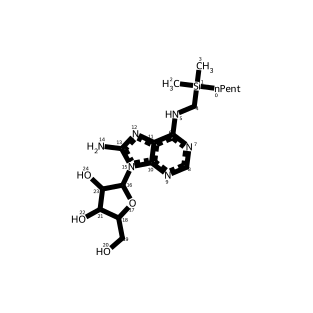 CCCCC[Si](C)(C)CNc1ncnc2c1nc(N)n2C1OC(CO)C(O)C1O